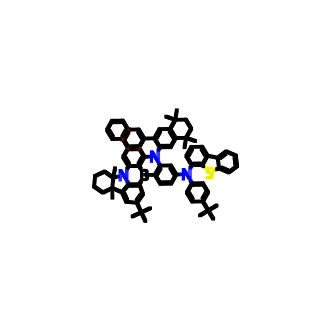 CC(C)(C)c1ccc(N(c2ccc3c(c2)N(c2cc4c(cc2-c2ccccc2)C(C)(C)CCC4(C)C)c2cc(-c4ccccc4)cc4c2B3c2cc(C(C)(C)C)cc3c2N4C2(C)CCCCC32C)c2cccc3c2sc2ccccc23)cc1